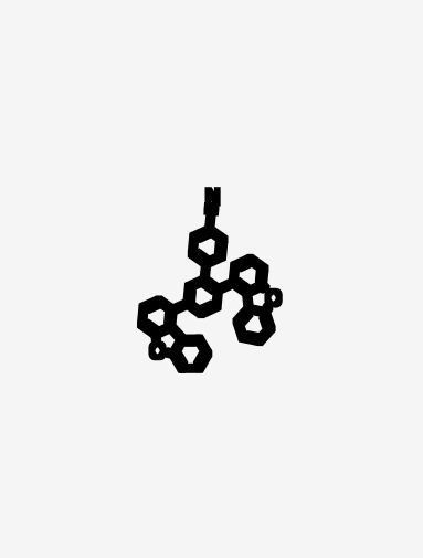 N#Cc1ccc(-c2cc(-c3cccc4oc5ccccc5c34)ccc2-c2cccc3oc4ccccc4c23)cc1